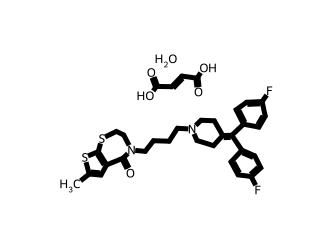 Cc1cc2c(s1)SCCN(CCCCN1CCC(=C(c3ccc(F)cc3)c3ccc(F)cc3)CC1)C2=O.O.O=C(O)C=CC(=O)O